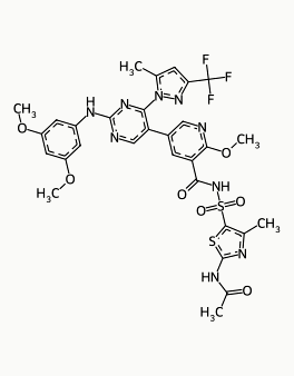 COc1cc(Nc2ncc(-c3cnc(OC)c(C(=O)NS(=O)(=O)c4sc(NC(C)=O)nc4C)c3)c(-n3nc(C(F)(F)F)cc3C)n2)cc(OC)c1